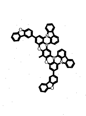 Cc1c2c(cc3c1Oc1cc(-c4ccc5oc6ccccc6c5c4)cc4c1B3c1cccc3c5ccccc5n-4c13)B1c3c(cc(-c4ccc5oc6ccccc6c5c4)cc3-n3c4ccccc4c4cccc1c43)O2